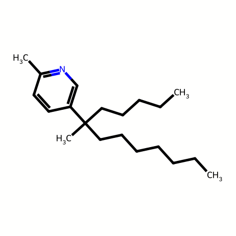 CCCCCCCC(C)(CCCCC)c1ccc(C)nc1